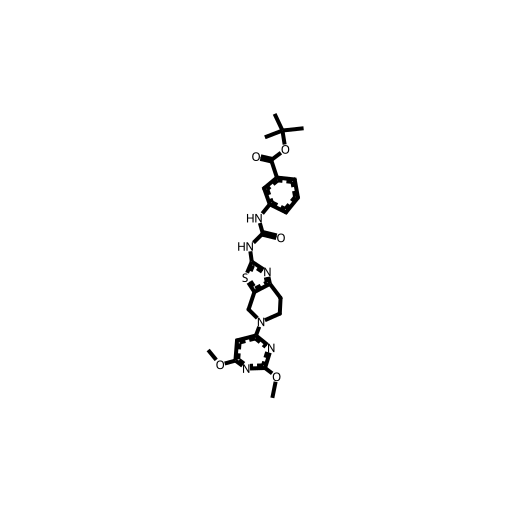 COc1cc(N2CCc3nc(NC(=O)Nc4cccc(C(=O)OC(C)(C)C)c4)sc3C2)nc(OC)n1